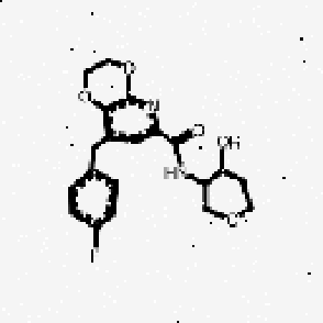 O=C(NC1COCCC1O)c1cc(Cc2ccc(F)cc2)c2c(n1)OCCO2